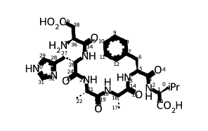 CC(C)[C@H](NC(=O)[C@H](Cc1ccccc1)NC(=O)[C@H](C)NC(=O)[C@H](C)NC(=O)[C@H](Cc1c[nH]cn1)NC(=O)[C@@H](N)CC(=O)O)C(=O)O